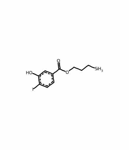 O=C(OCCC[SiH3])c1ccc(I)c(O)c1